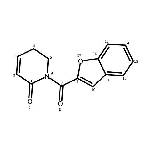 O=C1C=CCCN1C(=O)c1cc2ccccc2o1